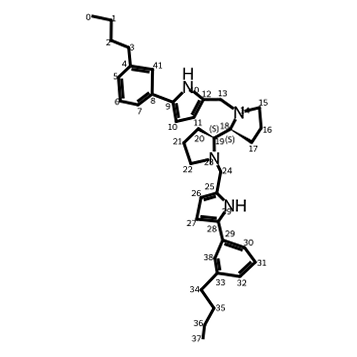 CCCCc1cccc(-c2ccc(CN3CCC[C@H]3[C@@H]3CCCN3Cc3ccc(-c4cccc(CCCC)c4)[nH]3)[nH]2)c1